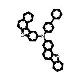 c1ccc(-c2ccc(N(c3ccc4c(ccc5c6ccccc6sc45)c3)c3ccc4oc5ccc6ccccc6c5c4c3)cc2)cc1